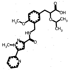 COc1ccc(CC(OC(C)C)C(=O)O)cc1CNC(=O)c1cc(-c2ccccn2)n(C)n1